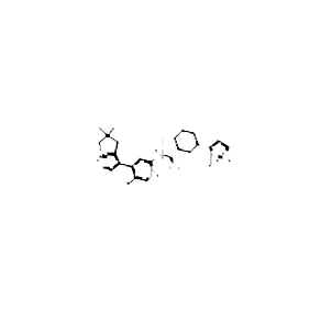 Cn1nccc1[C@H]1CCC[C@@H](C(=O)Nc2cc(-c3cnn4c3CC(C)(C)C4)c(Cl)cn2)C1